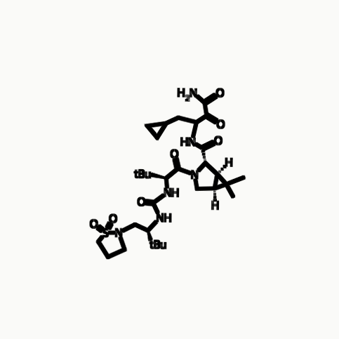 CC(C)(C)[C@H](NC(=O)N[C@H](CN1CCCS1(=O)=O)C(C)(C)C)C(=O)N1C[C@H]2[C@@H]([C@H]1C(=O)NC(CC1CC1)C(=O)C(N)=O)C2(C)C